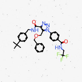 CC(C)(C)c1ccc(CNC(=O)c2nnn(-c3ccc(C(=O)NCC(F)(F)F)cc3)c2COCc2ccccc2)cc1